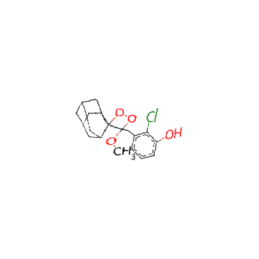 COC1(c2cccc(O)c2Cl)OOC12C1CC3CC(C1)CC2C3